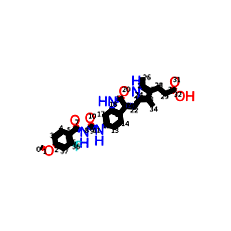 COc1ccc(C(=O)NC(=O)Nc2ccc3c(c2)NC(=O)/C3=C\c2[nH]c(C)c(CCC(=O)O)c2C)c(F)c1